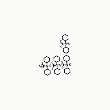 S=C([S-])[N+]([S-])(C1CCCCC1)C1CCCCC1.S=C([S-])[N+]([S-])(C1CCCCC1)C1CCCCC1.S=C([S-])[N+]([S-])(C1CCCCC1)C1CCCCC1.S=C([S-])[N+]([S-])(C1CCCCC1)C1CCCCC1.[Mo+4]